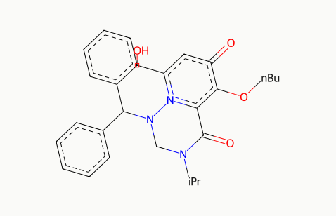 CCCCOc1c2n(c(CO)cc1=O)N(C(c1ccccc1)c1ccccc1)CN(C(C)C)C2=O